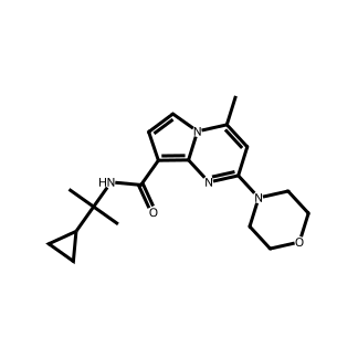 Cc1cc(N2CCOCC2)nc2c(C(=O)NC(C)(C)C3CC3)ccn12